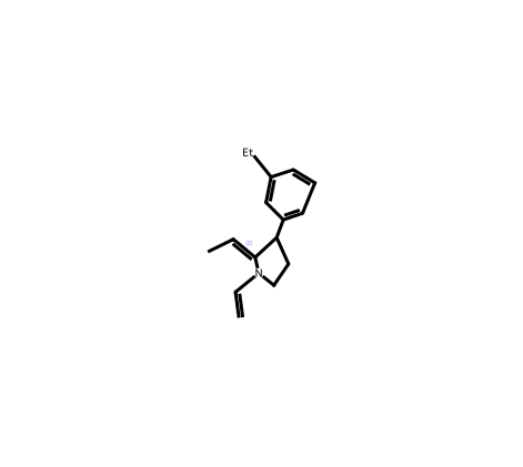 C=CN1CCC(c2cccc(CC)c2)/C1=C/C